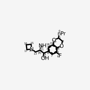 CCCC1COc2c(F)cc(C(O)[C@H](N)CN3CCC3)cc2O1